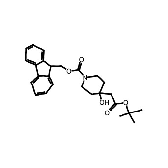 CC(C)(C)OC(=O)CC1(O)CCN(C(=O)OCC2c3ccccc3-c3ccccc32)CC1